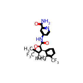 COc1c([C@H]2[C@@H](C)[C@](C)(C(F)(F)F)O[C@H]2C(=O)Nc2ccnc(C(N)=O)c2)cccc1C(F)(F)F